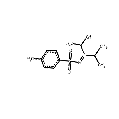 Cc1ccc(S(=O)(=O)N=S(C(C)C)C(C)C)cc1